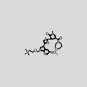 Cn1cc(C(=O)N2CCCOCC2)cc(-c2nc(-c3cn(COCC[Si](C)(C)C)c4ncc([N+](=O)[O-])cc34)cs2)c1=O